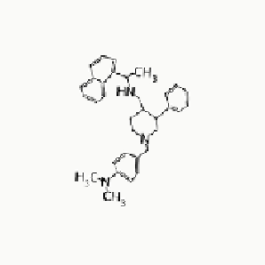 C[C@@H](NCC1CCN(Cc2ccc(N(C)C)cc2)CC1c1ccccc1)c1cccc2ccccc12